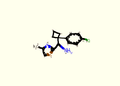 Cc1csc(C(N)C2(c3ccc(Cl)cc3)CCC2)n1